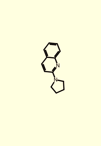 c1ccc2nc(N3CCCC3)ccc2c1